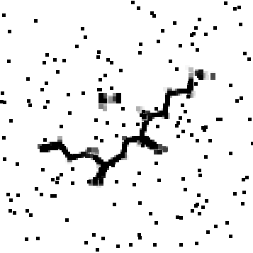 C=CCOC(=O)CCC(=O)OCCCCCCCCCCCC.[NaH]